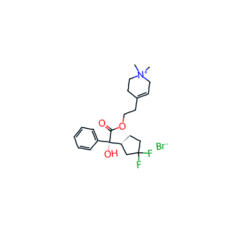 C[N+]1(C)CC=C(CCOC(=O)[C@](O)(c2ccccc2)[C@@H]2CCC(F)(F)C2)CC1.[Br-]